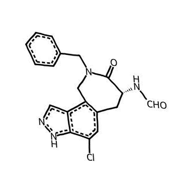 O=CN[C@@H]1Cc2cc(Cl)c3[nH]ncc3c2CN(Cc2ccccc2)C1=O